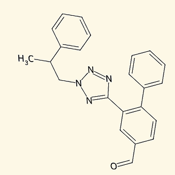 CC(Cn1nnc(-c2cc(C=O)ccc2-c2ccccc2)n1)c1ccccc1